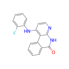 O=c1[nH]c2nccc(Nc3ccccc3F)c2c2ccccc12